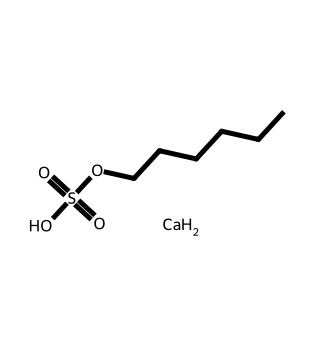 CCCCCCOS(=O)(=O)O.[CaH2]